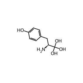 N[C@@H](Cc1ccc(O)cc1)C(O)(O)O